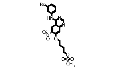 CS(=O)(=O)OCCCCOc1cc2ncnc(Nc3cccc(Br)c3)c2cc1[N+](=O)[O-]